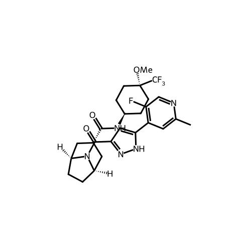 CO[C@]1(C(F)(F)F)CC[C@@H](NC(=O)[C@@H]2C[C@H]3CC[C@@H](C2)N3C(=O)c2cc(-c3cc(C)ncc3F)[nH]n2)CC1